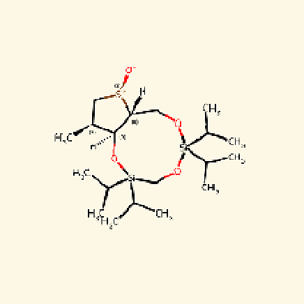 CC(C)[Si]1(C(C)C)CO[Si](C(C)C)(C(C)C)OC[C@@H]2[C@@H](O1)[C@@H](C)C[S@@+]2[O-]